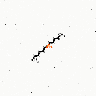 CCCCCCPCCCCC